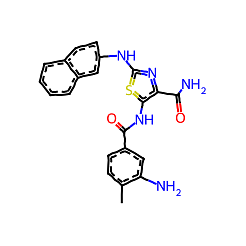 Cc1ccc(C(=O)Nc2sc(Nc3ccc4ccccc4c3)nc2C(N)=O)cc1N